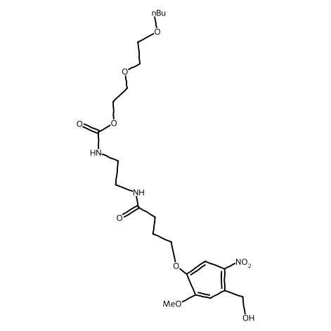 CCCCOCCOCCOC(=O)NCCNC(=O)CCCOc1cc([N+](=O)[O-])c(CO)cc1OC